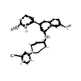 CNc1nccc(-c2cc(NC3CCN(c4cc(Cl)ncn4)CC3)c3cc(OC)ccc3c2)n1